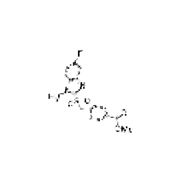 COC(=O)c1ccc(CS(=O)(=O)c2nc3cc(F)ccc3n2C)cc1